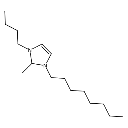 CCCCCCCCN1C=CN(CCCC)C1C